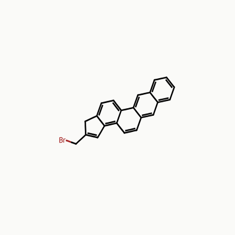 BrCC1=Cc2c(ccc3c2ccc2cc4ccccc4cc23)C1